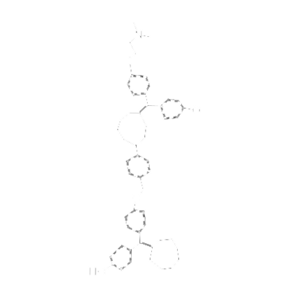 CN(C)CCOc1ccc(/C(=C2\CCCCC(c3ccc(COc4ccc(C(=C5CCCCCCC5)c5ccc(O)cc5)cc4)cc3)CC2)c2ccc(O)cc2)cc1